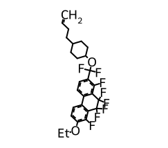 C=CCCC1CCC(OC(F)(F)c2ccc3c(c2F)C(F)(F)C(F)(F)c2c-3ccc(OCC)c2F)CC1